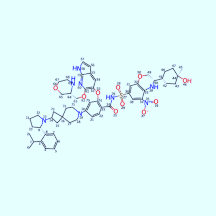 CC(C)c1ccccc1[C@@H]1CCCN1C1CC2(CCN(c3ccc(C(=O)NS(=O)(=O)c4cc5c(c([N+](=O)[O-])c4)N[C@@H]([C@H]4CC[C@](C)(O)CC4)CO5)c(Oc4cc5cc[nH]c5nc4OC[C@@H]4COCCN4)c3)CC2)C1